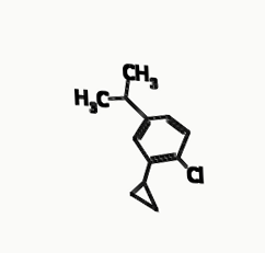 CC(C)c1ccc(Cl)c(C2CC2)c1